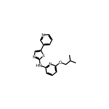 CC(C)COc1cccc(Nc2ncc(-c3cccnc3)s2)n1